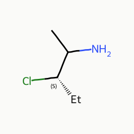 CC[C@H](Cl)C(C)N